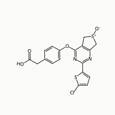 O=C(O)Cc1ccc(Oc2nc(-c3ccc(Cl)s3)nc3c2C[S+]([O-])C3)cc1